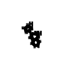 C1=c2ccccc2=NNN1c1ccc[nH]1